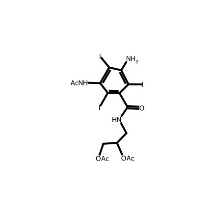 CC(=O)Nc1c(I)c(N)c(I)c(C(=O)NCC(COC(C)=O)OC(C)=O)c1I